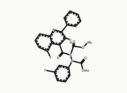 COC(=O)N(c1cccc(F)c1)N(C(=O)OC(C)(C)C)C(=O)c1c(C)c(-c2ccccc2)nc2cccc(F)c12